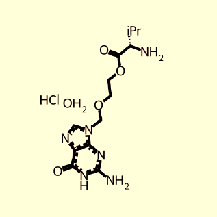 CC(C)[C@H](N)C(=O)OCCOCn1cnc2c(=O)[nH]c(N)nc21.Cl.O